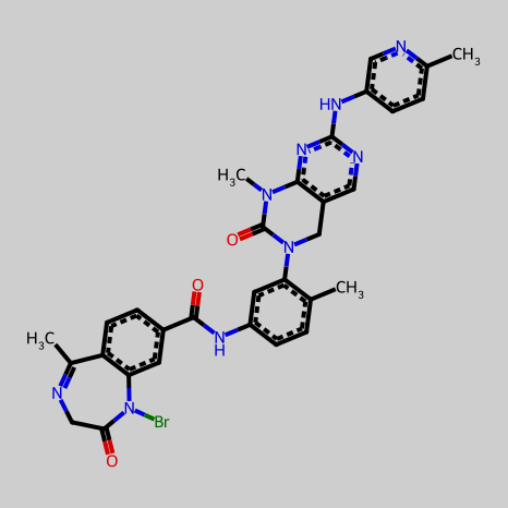 CC1=NCC(=O)N(Br)c2cc(C(=O)Nc3ccc(C)c(N4Cc5cnc(Nc6ccc(C)nc6)nc5N(C)C4=O)c3)ccc21